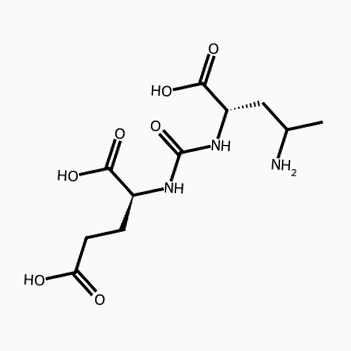 CC(N)C[C@H](NC(=O)N[C@@H](CCC(=O)O)C(=O)O)C(=O)O